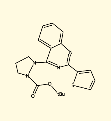 CC(C)(C)OC(=O)N1CCCN1c1nc(-c2cccs2)nc2ccccc12